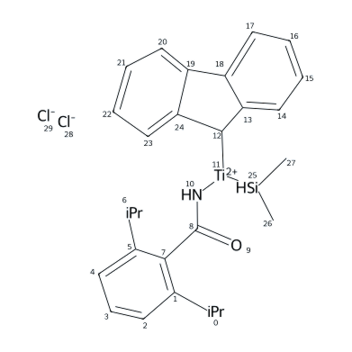 CC(C)c1cccc(C(C)C)c1C(=O)[NH][Ti+2]([CH]1c2ccccc2-c2ccccc21)[SiH](C)C.[Cl-].[Cl-]